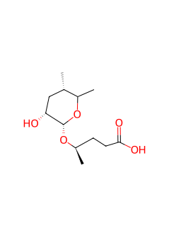 CC1O[C@H](O[C@H](C)CCC(=O)O)[C@H](O)C[C@@H]1C